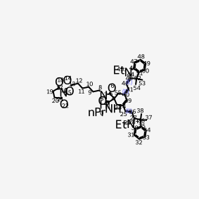 CCCNC(=O)C1(C(=O)NCCCCCC(=O)ON2C(=O)CCC2=O)CC(/C=C/C2=[N+](CC)c3ccccc3C2(C)C)=CC(=C/C=C2/N(CC)c3ccccc3C2(C)C)/C1